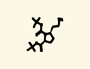 CC(C)(C)OC(=O)[C@@H]1CC[C@@H](CCO)N1C(=O)OC(C)(C)C